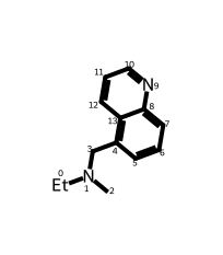 CCN(C)Cc1cccc2ncccc12